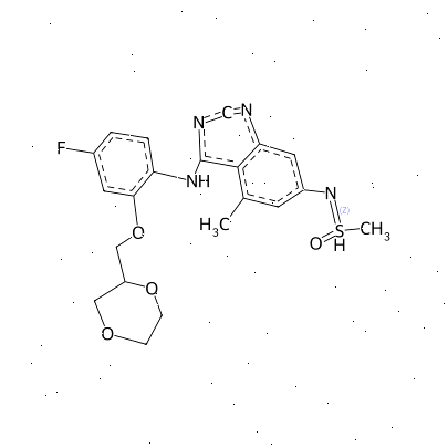 Cc1cc(/N=[SH](/C)=O)cc2ncnc(Nc3ccc(F)cc3OCC3COCCO3)c12